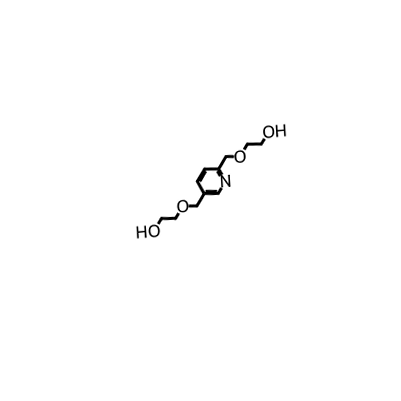 OCCOCc1ccc(COCCO)nc1